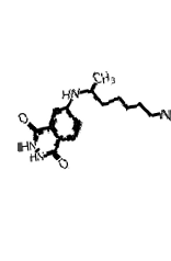 CC(CCCCCN)Nc1ccc2c(=O)[nH][nH]c(=O)c2c1